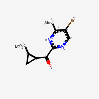 CCOC(=O)C1CC1C(=O)c1ncc(Br)c(OC)n1